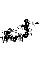 CSC1CC(=O)N(C/C(C)=N/NC(=O)Nc2ccc3[nH]c(C(=O)Nc4ccc5[nH]c(C(=O)N6CC(CCl)c7c6cc(OC(C)=O)c6ccccc76)cc5c4)cc3c2)C1=O